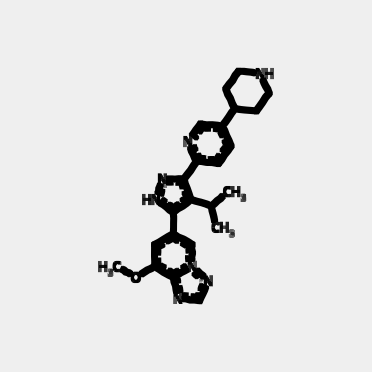 COc1cc(-c2[nH]nc(-c3ccc(C4CCNCC4)cn3)c2C(C)C)cn2ncnc12